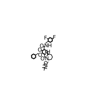 CC(C)(C)[Si](C)(C)OC[C@H]1CCC[C@H]2CN1C(=O)c1c(OCc3ccccc3)c(=O)c(C(=O)NCc3ccc(F)cc3F)cn12